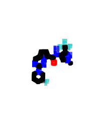 Cn1cc(NC(=O)c2ccc3cnc(N4CCC[C@@H](F)C4)nn23)c(C(F)(F)F)n1